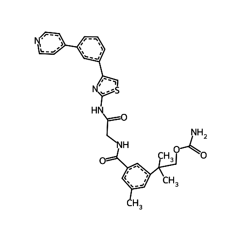 Cc1cc(C(=O)NCC(=O)Nc2nc(-c3cccc(-c4ccncc4)c3)cs2)cc(C(C)(C)COC(N)=O)c1